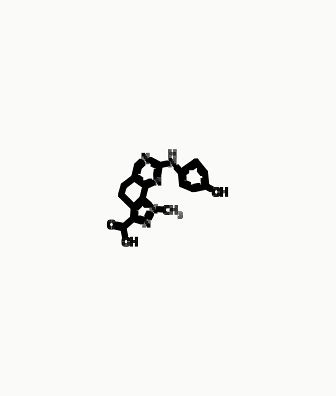 Cn1nc(C(=O)O)c2c1-c1nc(Nc3ccc(O)cc3)ncc1CC2